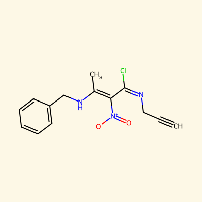 C#CC/N=C(Cl)\C(=C(/C)NCc1ccccc1)[N+](=O)[O-]